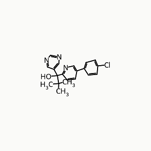 CC(C)(C)C(O)(c1cncnc1)c1ccc(-c2ccc(Cl)cc2)cn1